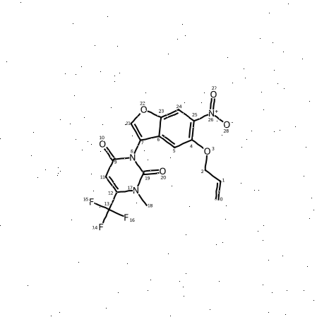 C=CCOc1cc2c(-n3c(=O)cc(C(F)(F)F)n(C)c3=O)coc2cc1[N+](=O)[O-]